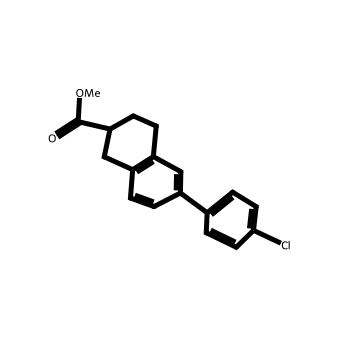 COC(=O)C1CCc2cc(-c3ccc(Cl)cc3)ccc2C1